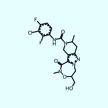 CC1Cc2nn3c(c2CN1C(=O)Nc1ccc(F)c(Cl)c1F)C(=O)N(C)OC(CO)C3